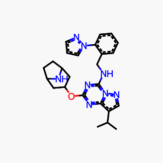 CC(C)c1cnn2c(NCc3ccccc3-n3cccn3)nc(OC3CC4CCC(C3)N4)nc12